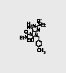 CCN(CC)C(=O)n1c(=O)n(Cc2ccc(C)cc2)c2nc([S+]([O-])CC)nc(N)c21